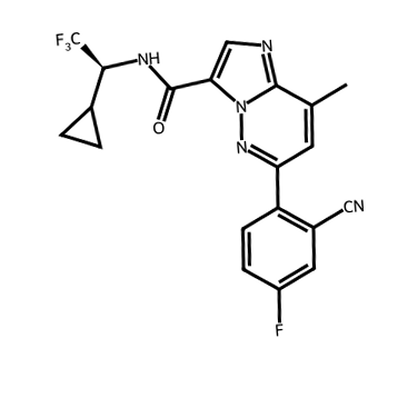 Cc1cc(-c2ccc(F)cc2C#N)nn2c(C(=O)N[C@@H](C3CC3)C(F)(F)F)cnc12